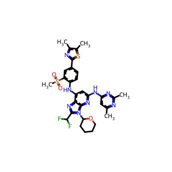 Cc1cc(Nc2cc(Nc3ccc(-c4nc(C)c(C)s4)cc3S(C)(=O)=O)c3nc(C(F)F)n(C4CCCCO4)c3n2)nc(C)n1